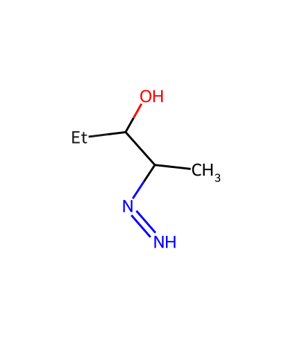 CCC(O)C(C)N=N